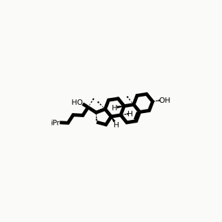 CC(C)CCC[C@@](C)(O)[C@H]1CC[C@H]2[C@@H]3CC=C4C[C@@H](O)CC[C@]4(C)[C@H]3CC[C@@]21C